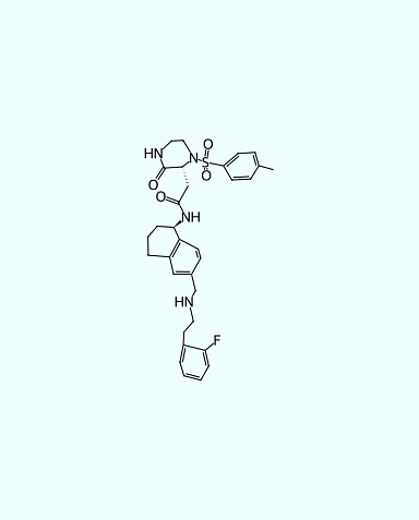 Cc1ccc(S(=O)(=O)N2CCNC(=O)[C@H]2CC(=O)N[C@@H]2CCCc3cc(CNCCc4ccccc4F)ccc32)cc1